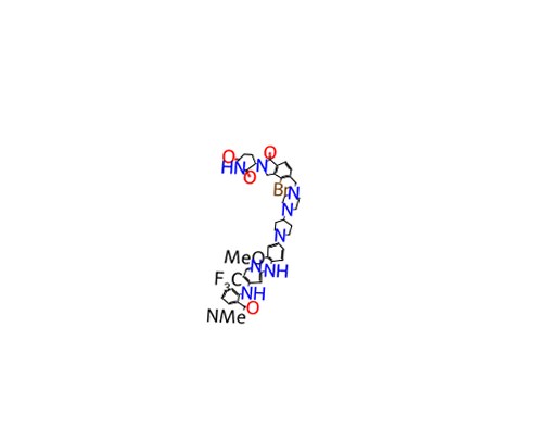 CNC(=O)c1ccccc1Nc1cc(Nc2ccc(N3CCC(N4CCN(Cc5ccc6c(c5Br)CN(C5CCC(=O)NC5=O)C6=O)CC4)CC3)cc2OC)ncc1C(F)(F)F